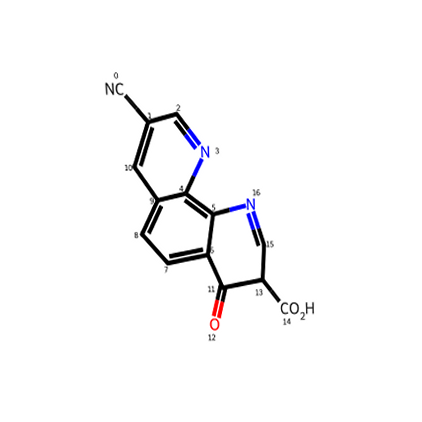 N#Cc1cnc2c3c(ccc2c1)C(=O)C(C(=O)O)C=N3